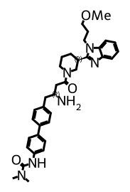 COCCCn1c([C@@H]2CCCN(C(=O)C[C@H](N)Cc3ccc(-c4ccc(NC(=O)N(C)C)cc4)cc3)C2)nc2ccccc21